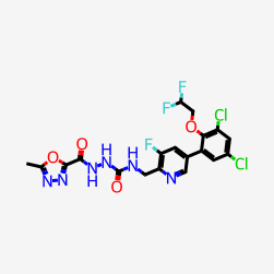 Cc1nnc(C(=O)NNC(=O)NCc2ncc(-c3cc(Cl)cc(Cl)c3OCC(F)F)cc2F)o1